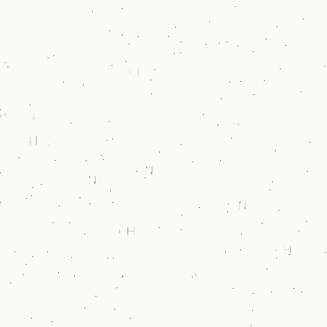 Cc1cc(Cc2cccc(C)n2)nc(-n2c(C)ccc2C)c1